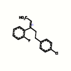 O=C(O)/C=C(/CCc1ccc(Cl)cc1)c1ccccc1F